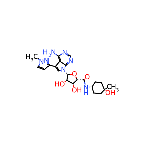 Cn1ccc(-c2cn([C@@H]3O[C@H](C(=O)N[C@H]4CC[C@@](C)(O)CC4)[C@@H](O)[C@H]3O)c3ncnc(N)c23)n1